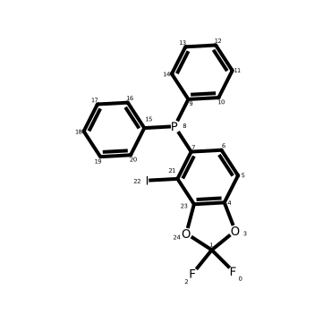 FC1(F)Oc2ccc(P(c3ccccc3)c3ccccc3)c(I)c2O1